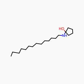 CCCCCCCCCCCCCCNC1(O)CCCC1